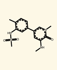 CNc1cc(-c2ccc(C)c(NS(C)(=O)=O)c2)cn(C)c1=O